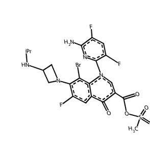 CC(C)NC1CN(c2c(F)cc3c(=O)c(C(=O)OS(C)(=O)=O)cn(-c4nc(N)c(F)cc4F)c3c2Br)C1